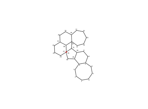 C1CCCC2C(CC1)CCC1[C](C34CCCCCC3CCC3CCCCC34)CCC12